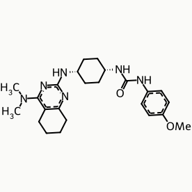 COc1ccc(NC(=O)N[C@H]2CC[C@@H](Nc3nc4c(c(N(C)C)n3)CCCC4)CC2)cc1